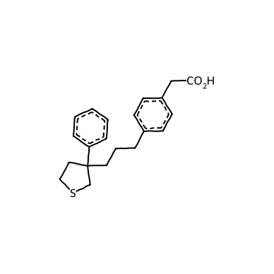 O=C(O)Cc1ccc(CCCC2(c3ccccc3)CCSC2)cc1